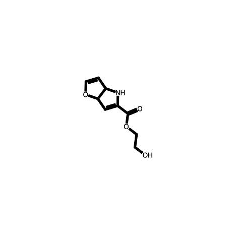 O=C(OCCO)C1=CC2OC=CC2N1